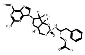 CCOc1nc(N)nc2c1ncn2[C@@H]1O[C@@H]2CO[P@@](=O)(N[C@@H](COC(=O)C(C)C)Cc3ccccc3)O[C@H]2[C@@]1(C)Cl